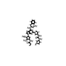 CCC(=O)NC1CC(n2cnc3c(NC(CO)Cc4ccccc4)nc(N4CC[C@@H](NC(=O)NC5CCN(C)C5)C4)nc32)[C@H](O)[C@@H]1O